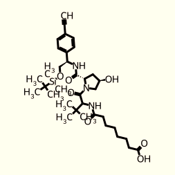 C#Cc1ccc([C@H](CO[Si](C)(C)C(C)(C)C)NC(=O)[C@@H]2C[C@@H](O)CN2C(=O)C(NC(=O)CCCCCCC(=O)O)C(C)(C)C)cc1